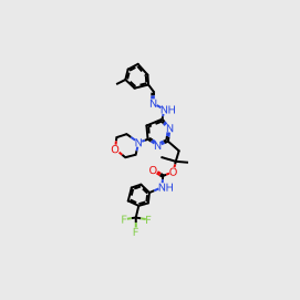 Cc1cccc(C=NNc2cc(N3CCOCC3)nc(CC(C)(C)OC(=O)Nc3cccc(C(F)(F)F)c3)n2)c1